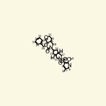 COc1ncc(C)cc1S(=O)(=O)N1C[C@H]2CC(N(CC3CCOCC3)C(=O)OCc3ccccc3)C[C@H]2C1